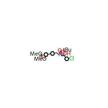 COC(=O)c1ccc(-c2ccc(CCN(C[C@H](O)c3cccc(Cl)c3)C(=O)OC(C)(C)C)cc2)cc1OC